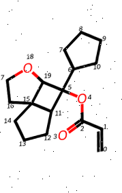 C=CC(=O)OC1(C2CCCC2)C2CCCC23CCOC31